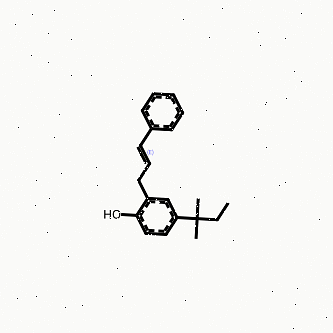 CCC(C)(C)c1ccc(O)c(C/C=C/c2ccccc2)c1